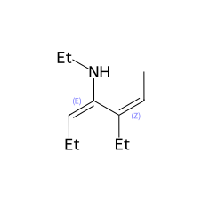 C/C=C(CC)\C(=C/CC)NCC